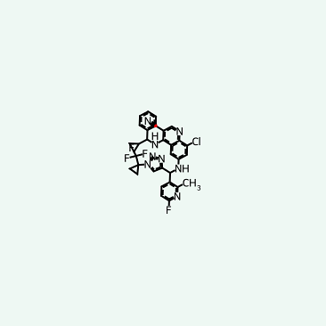 Cc1nc(F)ccc1C(Nc1cc(Cl)c2ncc(C#N)c(NC(c3ccccc3)C3CC3)c2c1)c1cn(C2(C(F)(F)F)CC2)nn1